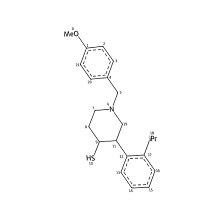 COc1ccc(CN2CCC(S)C(c3ccccc3C(C)C)C2)cc1